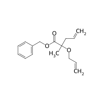 C=CCOC(C)(CC=C)C(=O)OCc1ccccc1